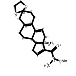 CON(C)C(=O)C1=CCC2C3CCC4=C(CCC5(C4)OCCO5)C3=CC[C@]12C